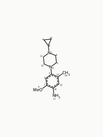 COc1cc(N2CCN(C3CC3)CC2)c(C)cc1N